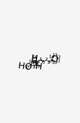 OC1C[C@@H]2C(C=CCCc3ccccc3)[C@@H]2C1